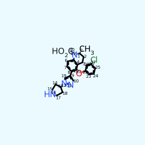 C[C@H]1CCc2c(ccc(-c3cnn(C4CCNCC4)c3)c2Oc2cccc(Cl)c2)N1C(=O)O